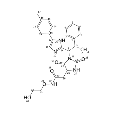 C[C@@H](c1ccccc1)[C@@H](c1ncc(-c2ccc(I)cc2)[nH]1)N1C(=O)NC(CC(=O)NOCCO)C1=O